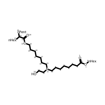 CCCCCCOC(=O)CCCCCCCN(CCO)CCCCCCCOC(=O)C(CCCCC)CCCCCC